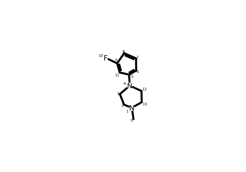 CN1CCN(c2cc[c]c(F)c2)CC1